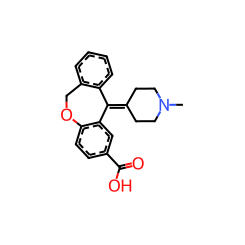 CN1CCC(=C2c3ccccc3COc3ccc(C(=O)O)cc32)CC1